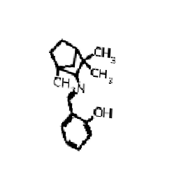 CC12CCC(C1)C(C)(C)C2N=Cc1ccccc1O